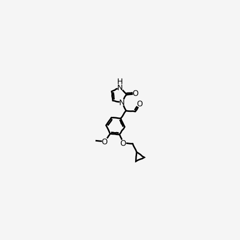 COc1ccc(C(C=O)n2cc[nH]c2=O)cc1OCC1CC1